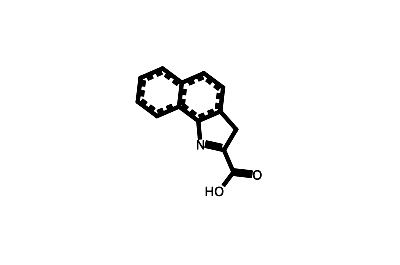 O=C(O)C1=Nc2c(ccc3ccccc23)C1